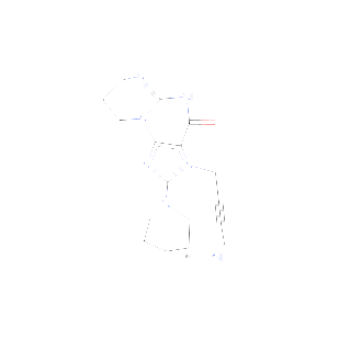 CC#CCn1c(N2CCC[C@@H](N)C2)nc2c1C(=O)NC1=NCCCN12